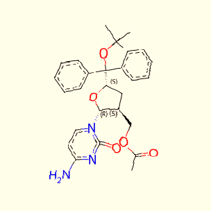 CC(=O)OC[C@@H]1C[C@@H](C(OC(C)(C)C)(c2ccccc2)c2ccccc2)O[C@H]1n1ccc(N)nc1=O